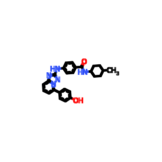 CC1CCC(NC(=O)c2ccc(Nc3nc4cccc(-c5ccc(O)cc5)n4n3)cc2)CC1